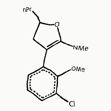 CCCC1CC(c2cccc(Cl)c2OC)=C(NC)O1